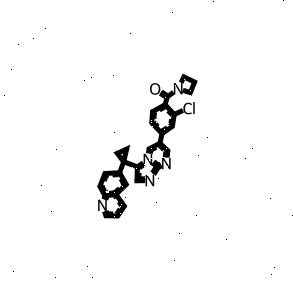 O=C(c1ccc(-c2cnc3ncc(C4(c5ccc6ncccc6c5)CC4)n3c2)cc1Cl)N1CCC1